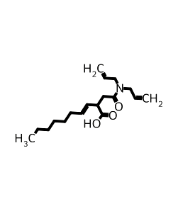 C=CCN(CC=C)C(=O)CC(C=CCCCCCC)C(=O)O